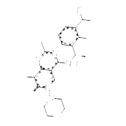 Cc1nc(N[C@H](C)c2cccc(C(F)F)c2F)c2cn(N3CCOCC3)c(=O)c(F)c2n1